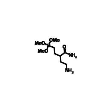 CO[Si](CCC(CCN)C(N)=O)(OC)OC